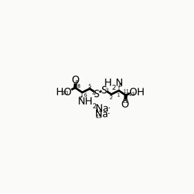 N[C@@H](CSSC[C@H](N)C(=O)O)C(=O)O.[Na].[Na]